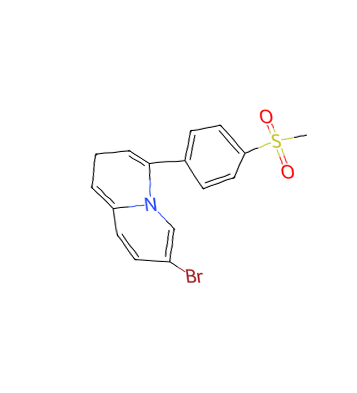 CS(=O)(=O)c1ccc(C2=CCC=C3C=CC(Br)=CN32)cc1